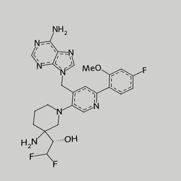 COc1cc(F)ccc1-c1cc(Cn2cnc3c(N)ncnc32)c(N2CCCC(N)([C@H](O)C(F)F)C2)cn1